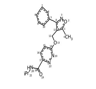 Cc1onc(-c2ccccc2)c1COc1ccc(C(=O)NC(C)C)nn1